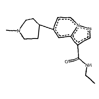 CCNC(=O)c1cnn2ccc(C3CCN(C)CC3)cc12